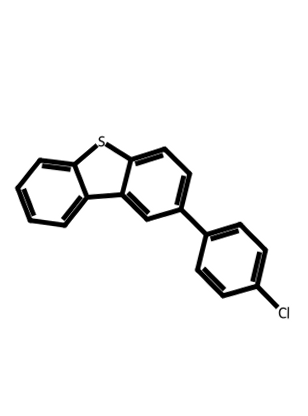 Clc1ccc(-c2ccc3sc4ccccc4c3c2)cc1